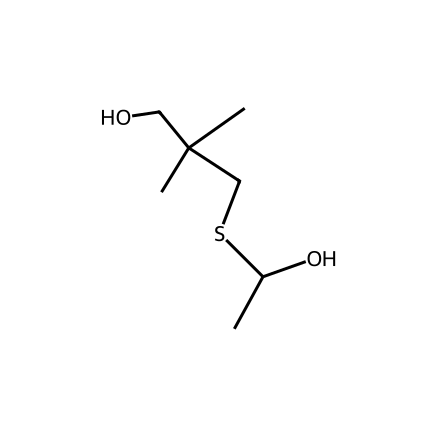 CC(O)SCC(C)(C)CO